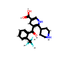 O=C(O)C1=CNC(C2CCNCC2)=C(C(=O)c2ccccc2C(F)(F)F)C1